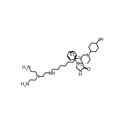 CCC(CCCCCCNCCN(CCN)CCN)[C@H]1CN(C2CCC(C(C)C)CC2)CC[C@@]12C(=O)NCN2c1ccccc1